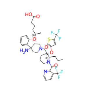 CCC[C@H]1N(C(=O)c2ncccc2C(F)(F)F)CCC[C@@]1(Oc1csc(C(F)(F)F)c1)C(=O)N1CCC(N)(c2ccccc2O[C@H](C)CCCC(=O)O)CC1